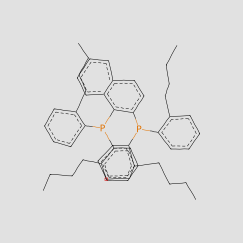 CCCCc1ccccc1P(c1ccccc1CCCC)c1ccc2ccccc2c1P(c1ccccc1CCCC)c1ccccc1CCCC